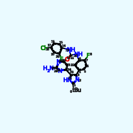 CC(C)(C)c1nc(-c2ccc(F)c(NC(=O)Nc3ccc(Cl)cc3F)c2)c(-c2ccnc(N)n2)[nH]1